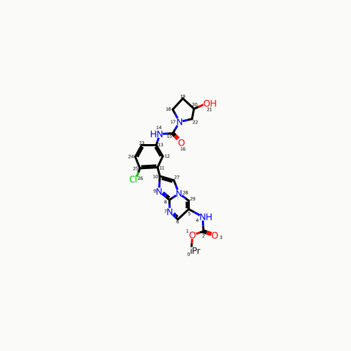 CC(C)OC(=O)Nc1cnc2nc(-c3cc(NC(=O)N4CCC(O)C4)ccc3Cl)cn2c1